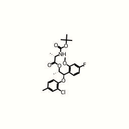 COc1cc(F)ccc1[C@@H](Oc1ccc(C)cc1Cl)[C@H](C)OC(=O)[C@H](C)NC(=O)OC(C)(C)C